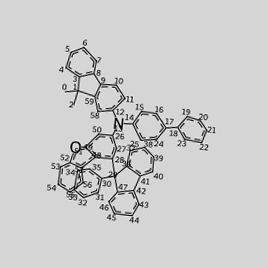 CC1(C)c2ccccc2-c2ccc(N(c3ccc(-c4ccccc4)cc3)c3cc(C4(c5ccccc5)c5ccccc5-c5ccccc54)c4c(c3)oc3ccccc34)cc21